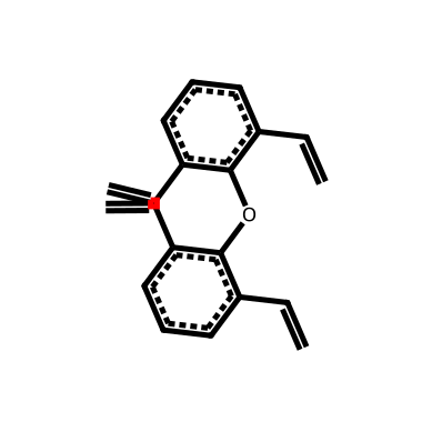 C=Cc1cccc(C=C)c1Oc1c(C=C)cccc1C=C